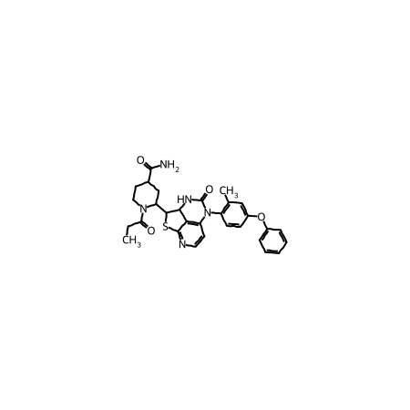 CCC(=O)N1CCC(C(N)=O)CC1C1Sc2nccc3c2C1NC(=O)N3c1ccc(Oc2ccccc2)cc1C